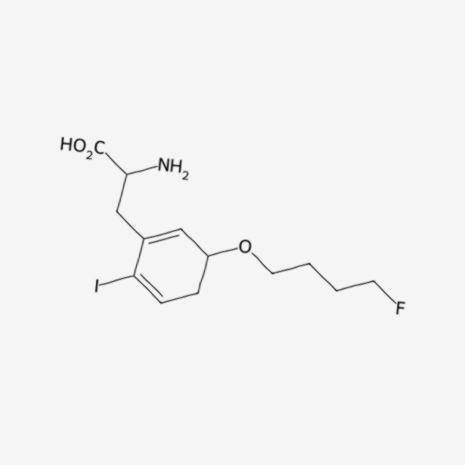 NC(CC1=CC(OCCCCF)CC=C1I)C(=O)O